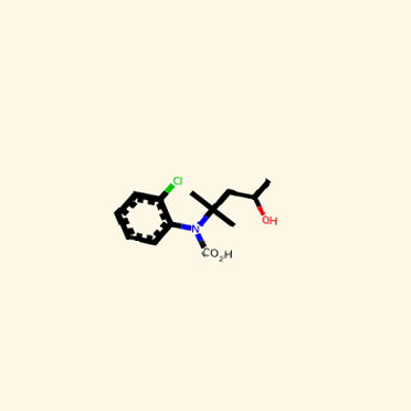 CC(O)CC(C)(C)N(C(=O)O)c1ccccc1Cl